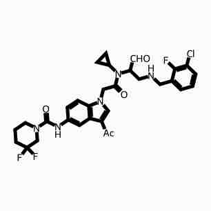 CC(=O)c1cn(CC(=O)N(C(C=O)CNCc2cccc(Cl)c2F)C2CC2)c2ccc(NC(=O)N3CCCC(F)(F)C3)cc12